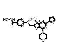 CN(Cc1nc2c(N3CCOCC3)nc(-c3cccs3)nc2n1C)c1ncc(C(=O)NO)cn1